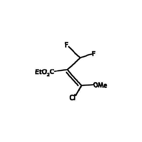 CCOC(=O)C(=C(Cl)OC)C(F)F